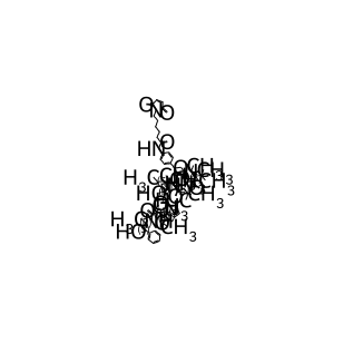 CC[C@H](C)[C@@H]([C@H](O)CC(=O)N1CCC[C@H]1[C@H](OC)[C@@H](C)C(=O)N[C@H](C)[C@@H](O)c1ccccc1)N(C)C(=O)[C@@H](NC(=O)[C@H](C(C)C)N(C)C(=O)OCc1ccc(NC(=O)CCCCCN2C(=O)C=CC2=O)cc1)C(C)C